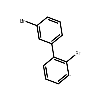 Brc1cccc(-c2ccc[c]c2Br)c1